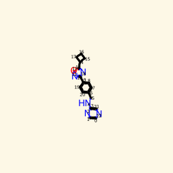 c1cnc(NCc2ccc(-c3noc(C4CCC4)n3)cc2)cn1